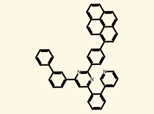 c1ccc(-c2cccc(-c3cc(-c4ccccc4-c4cccnc4)nc(-c4ccc(-c5ccc6ccc7cccc8ccc5c6c78)cc4)n3)c2)cc1